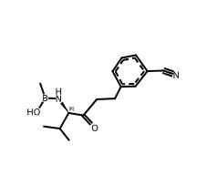 CB(O)N[C@@H](C(=O)CCc1cccc(C#N)c1)C(C)C